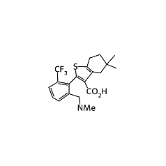 CNCc1cccc(C(F)(F)F)c1-c1sc2c(c1C(=O)O)CC(C)(C)CC2